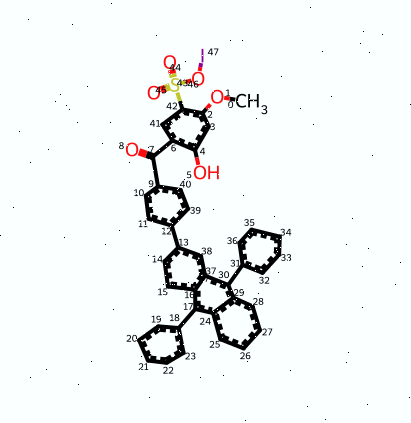 COc1cc(O)c(C(=O)c2ccc(-c3ccc4c(-c5ccccc5)c5ccccc5c(-c5ccccc5)c4c3)cc2)cc1S(=O)(=O)OI